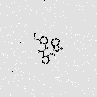 CC(C)Oc1cccc(NC(=O)c2ccccc2C(F)(F)F)c1.c1ccc2[nH]cnc2c1